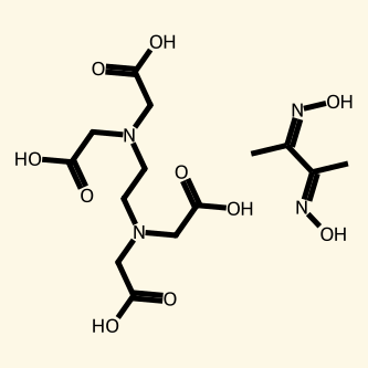 CC(=NO)C(C)=NO.O=C(O)CN(CCN(CC(=O)O)CC(=O)O)CC(=O)O